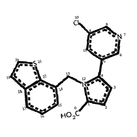 O=C(O)c1ccc(-c2cncc(Cl)c2)n1Cc1cccc2ccsc12